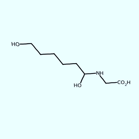 O=C(O)CNC(O)CCCCCO